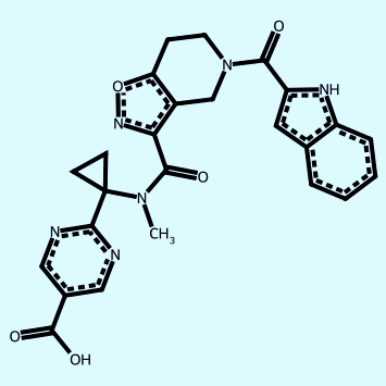 CN(C(=O)c1noc2c1CN(C(=O)c1cc3ccccc3[nH]1)CC2)C1(c2ncc(C(=O)O)cn2)CC1